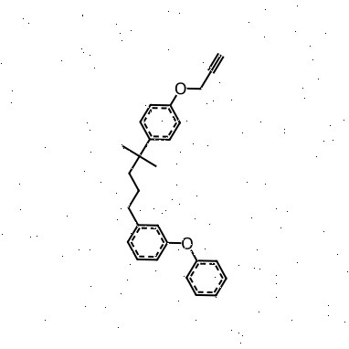 C#CCOc1ccc(C(C)(C)CCCc2cccc(Oc3ccccc3)c2)cc1